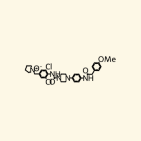 COc1ccc(CC(=O)Nc2ccc(N3CCN(C(=O)Nc4c(Cl)cc(C[N+]5([O-])CCCC5)cc4Cl)CC3)cc2)cc1